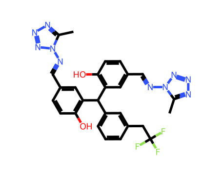 Cc1nnnn1N=Cc1ccc(O)c(C(c2cccc(CC(F)(F)F)c2)c2cc(C=Nn3nnnc3C)ccc2O)c1